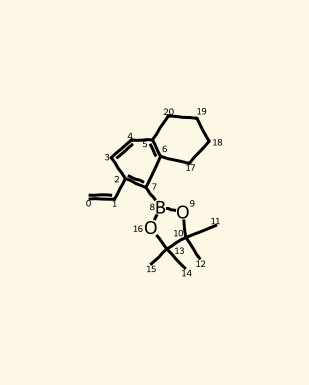 C=Cc1ccc2c(c1B1OC(C)(C)C(C)(C)O1)CCCC2